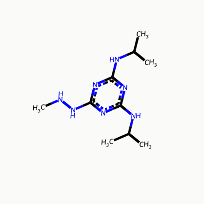 CNNc1nc(NC(C)C)nc(NC(C)C)n1